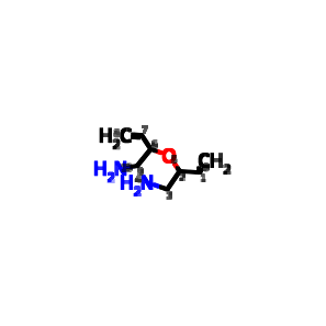 C=CC(CN)OC(C=C)CN